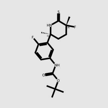 CC(C)(C)OC(=O)Nc1ccc(F)c([C@]2(C)CC[C@@](C)(F)C(=S)N2)c1